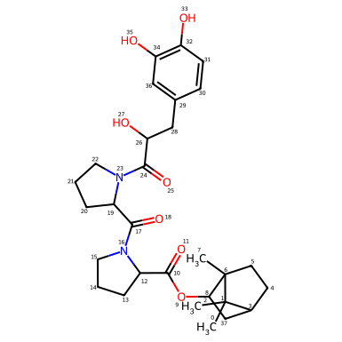 CC1(C)C2CCC1(C)C(OC(=O)C1CCCN1C(=O)C1CCCN1C(=O)C(O)Cc1ccc(O)c(O)c1)C2